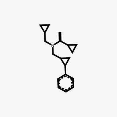 C=C(C1CC1)N(CC1CC1)CC1CC1c1ccccc1